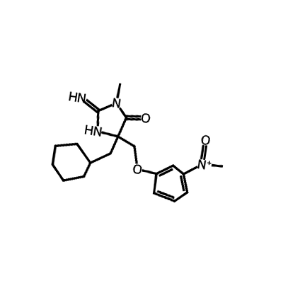 CN1C(=N)NC(COc2cccc([N+](C)=O)c2)(CC2CCCCC2)C1=O